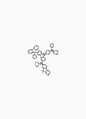 CC1(C)c2ccccc2-c2ccc(N(C3=CCCC=C3)c3ccc4c(c3)c3cc(C5(c6ccccc6)c6ccccc6-c6ccccc65)ccc3n4-c3ccc(N(c4ccccc4)c4ccccc4)cc3)cc21